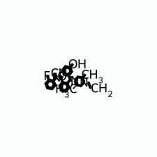 C=CCN1C[C@@H](C)N(C(c2cccc(O)c2)c2ccccc2C(=O)N(C)c2ccccc2F)CC1C